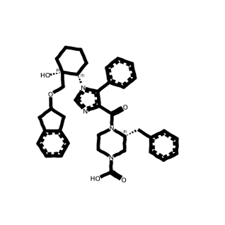 O=C(O)N1CCN(C(=O)c2ncn([C@H]3CCCC[C@]3(O)COC3Cc4ccccc4C3)c2-c2ccccc2)[C@H](Cc2ccccc2)C1